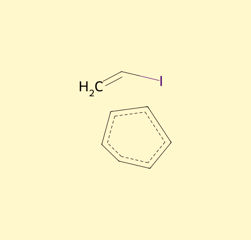 C=CI.c1ccccc1